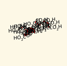 O=C(O)CC[C@H](NC(=O)N[C@@H](CCC(=O)NC(CCCNC(=O)C[C@@H](NC(=O)c1cc(C(=O)O)cc(C(=O)O)c1)C(=O)NCCCC[C@@H](NC(=O)[C@@H](Cc1ccc2ccccc2c1)NC(=O)[C@@H](Cc1ccc(O)cc1)NC(=O)C(CNC(=O)c1cc(C(=O)O)cc(C(=O)O)c1)NC(=O)CCC(NCCN(CCN(CCNCC(=O)O)CC(=O)O)CC(=O)O)C(=O)O)C(=O)O)C(=O)O)C(=O)O)C(=O)O